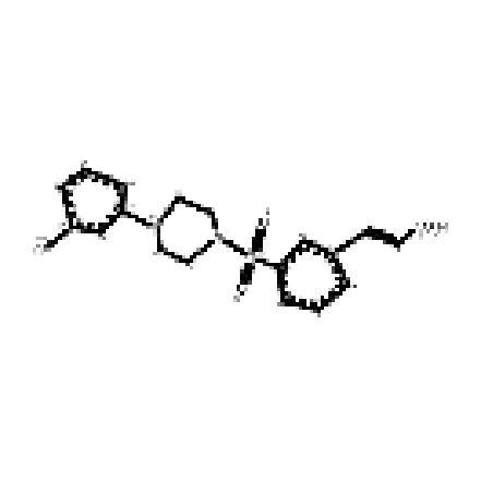 O=C(O)C=Cc1cccc(S(=O)(=O)N2CCN(c3cccc(Cl)c3)CC2)c1